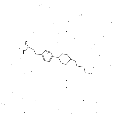 CCCCCC1CCC(c2ccc(CCC(F)F)cc2)CC1